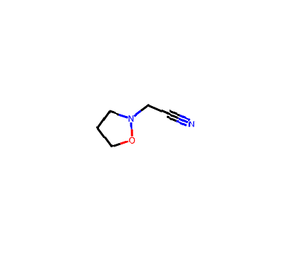 N#CCN1CCCO1